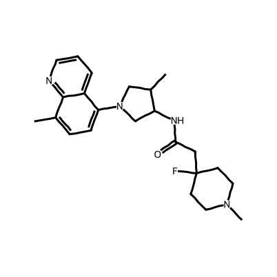 Cc1ccc(N2CC(C)C(NC(=O)CC3(F)CCN(C)CC3)C2)c2cccnc12